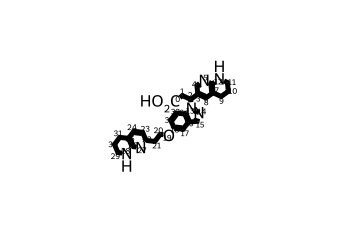 O=C(O)CC(c1cnc2c(c1)CCCN2)n1ncc2cc(OCCc3ccc4c(n3)NCCC4)ccc21